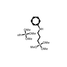 CCC[Si](OC)(OC)OC.CO[Si](CCCNc1ccccc1)(OC)OC